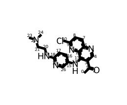 CC(=O)c1cnc2ccc(Cl)nc2c1Nc1ccc(NCCN(C)C)nc1